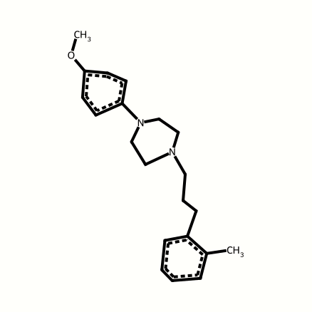 COc1ccc(N2CCN(CCCc3ccccc3C)CC2)cc1